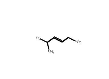 CCCC/C=C/C(C)CC